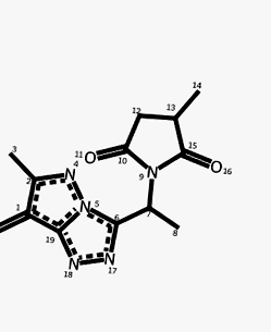 C=c1c(C)nn2c(C(C)N3C(=O)CC(C)C3=O)nnc12